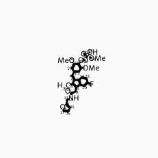 COc1cc(/C=C2/C(C)=C(CC(=O)NCc3ccco3)c3cc(F)ccc32)cc(OC)c1OOP(=O)(O)OC